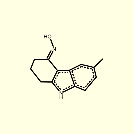 Cc1ccc2[nH]c3c(c2c1)C(=NO)CCC3